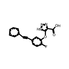 O=C(O)c1nn[nH]c1Oc1cc(C#Cc2ccccc2)ccc1F